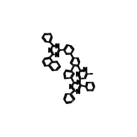 Cc1cc(C)nc(-c2ccc(-c3cccc(-c4nc(-c5ccccc5)nc(-c5cccc6ccccc56)n4)c3)cc2-c2cccc(-c3nc(-c4ccccc4)nc(-c4ccccc4)n3)c2)n1